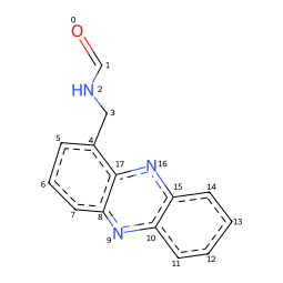 O=CNCc1cccc2nc3ccccc3nc12